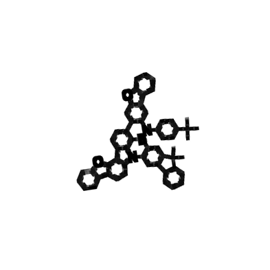 CC(C)(C)c1ccc(N2B3c4cc5c(cc4-n4c6ccc7c8ccccc8oc7c6c6ccc(c3c64)-c3cc4oc6ccccc6c4cc32)-c2ccccc2C5(C)C)cc1